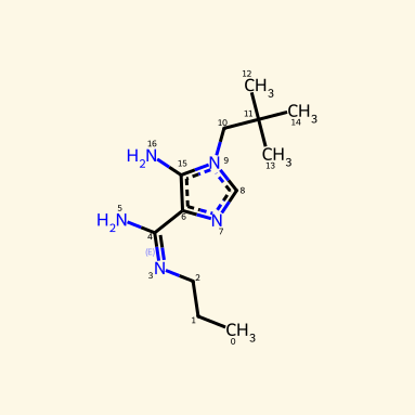 CCC/N=C(/N)c1ncn(CC(C)(C)C)c1N